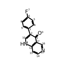 O=c1c(-c2ccc(F)cc2)c[nH]c2ccncc12